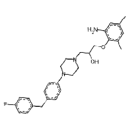 Cc1cc(C)c(OCC(O)CN2CCN(c3ccc(Cc4ccc(F)cc4)cc3)CC2)c(N)c1